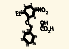 CCc1ccc([N+](=O)[O-])cc1OCc1ccccc1.O=C(O)O